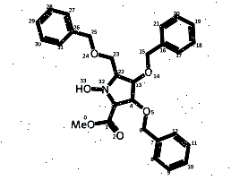 COC(=O)C1C(OCc2ccccc2)C(OCc2ccccc2)C(COCc2ccccc2)N1O